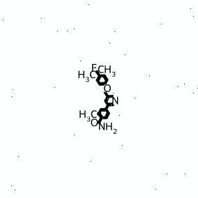 Cc1cc(-c2cncc(COc3ccc(C(C)(C)F)cc3)c2)ccc1C(N)=O